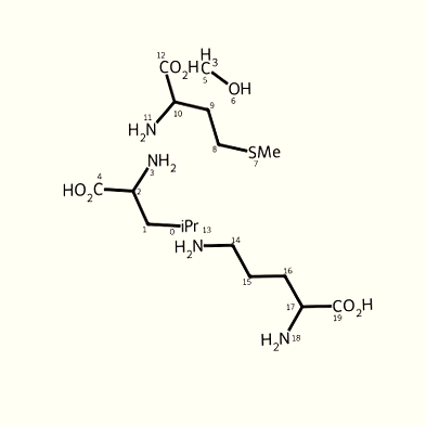 CC(C)CC(N)C(=O)O.CO.CSCCC(N)C(=O)O.NCCCC(N)C(=O)O